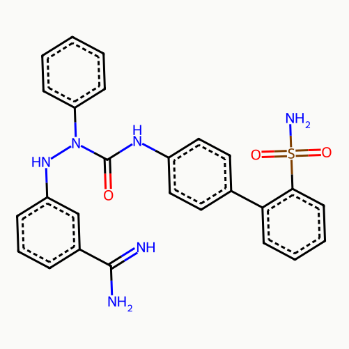 N=C(N)c1cccc(NN(C(=O)Nc2ccc(-c3ccccc3S(N)(=O)=O)cc2)c2ccccc2)c1